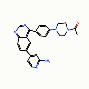 CC(=O)N1CCN(c2ccc(-c3ncnc4ccc(-c5ccnc(N)c5)cc34)cc2)CC1